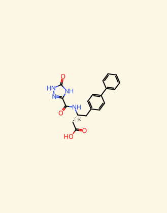 O=C(O)C[C@@H](Cc1ccc(-c2ccccc2)cc1)NC(=O)c1n[nH]c(=O)[nH]1